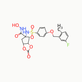 Cc1ccc(F)cc1COc1ccc(S(=O)(=O)NC2(C(=O)NO)CC3OC(=O)OC3C2)cc1